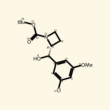 COc1cc(Cl)cc(C(O)[C@H]2CCN2C(=O)OC(C)(C)C)c1